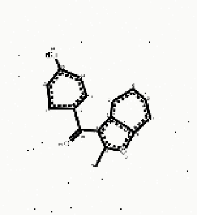 Cc1oc2ccccc2c1C(=O)c1ccc(C(C)(C)C)cc1